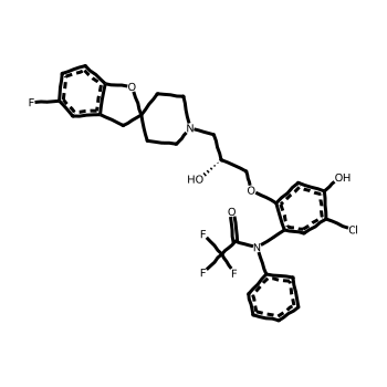 O=C(N(c1ccccc1)c1cc(Cl)c(O)cc1OC[C@H](O)CN1CCC2(CC1)Cc1cc(F)ccc1O2)C(F)(F)F